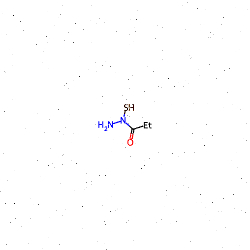 CCC(=O)N(N)S